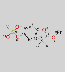 CCO[C@H]1Oc2ccc(OS(C)(=O)=O)cc2C1(C)C